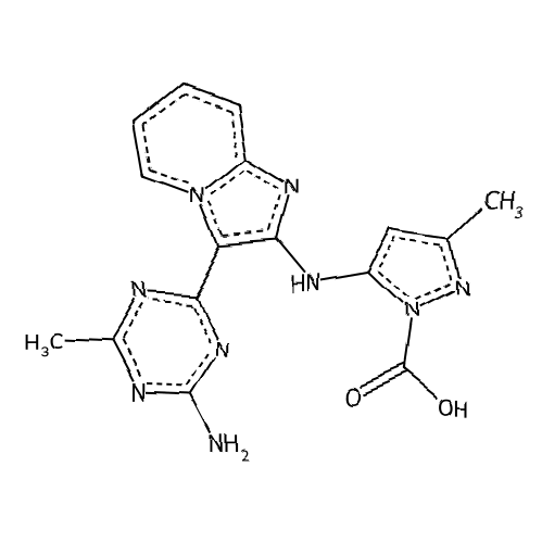 Cc1cc(Nc2nc3ccccn3c2-c2nc(C)nc(N)n2)n(C(=O)O)n1